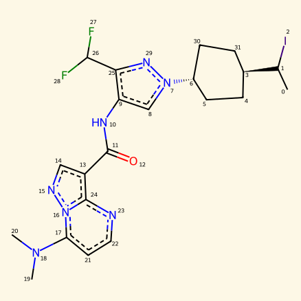 CC(I)[C@H]1CC[C@H](n2cc(NC(=O)c3cnn4c(N(C)C)ccnc34)c(C(F)F)n2)CC1